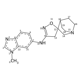 Cn1cnc2ccc(NC3=NOC4(C3)CN3CCC4CC3)cc21